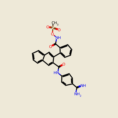 CS(=O)(=O)ONC(=O)c1ccccc1-c1cc2ccccc2cc1C(=O)Nc1ccc(C(=N)N)cc1